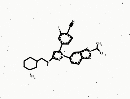 CC(C)n1cc2cc(-n3nc(NCC4CCC[C@@H](N)C4)cc3-c3ccc(C#N)c(F)c3)ccc2n1